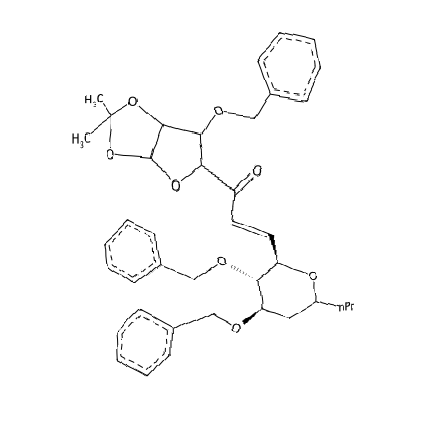 CCCC1C[C@@H](OCc2ccccc2)[C@H](OCc2ccccc2)[C@@H](/C=C/C(=O)C2OC3OC(C)(C)OC3C2OCc2ccccc2)O1